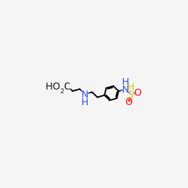 O=C(O)CCNCCc1ccc(N[SH](=O)=O)cc1